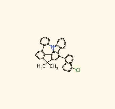 CC1(C)c2cccc3c2-c2c1cc(-c1cccc4c(Cl)cccc14)c1c4ccccc4n(c21)-c1ccccc1-3